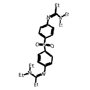 CCC(=Nc1ccc(S(=O)(=O)c2ccc(N=C(CC)N(CC)CC)cc2)cc1)N(CC)CC